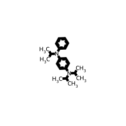 CC(C)N(c1ccccc1)c1ccc(N(C(C)C)C(C)C)cc1